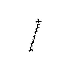 CC(C)COCCOCCOCCCCCOC(C)(C)C